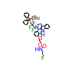 C[C@@H]1Cc2c([nH]c3ccccc23)[C@@H](c2c(F)ccc(OCCOC(=O)NCCCF)c2F)N1CC(F)(F)CO[Si](c1ccccc1)(c1ccccc1)C(C)(C)C